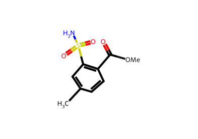 COC(=O)c1ccc(C)cc1S(N)(=O)=O